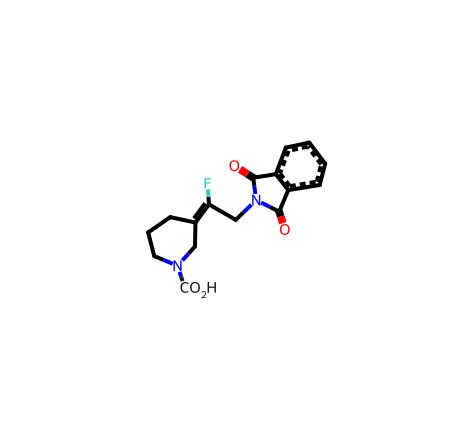 O=C(O)N1CCCC(=C(F)CN2C(=O)c3ccccc3C2=O)C1